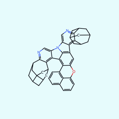 c1cc2cccc3c2c(c1)oc1cc2c4c5c(ncc4n4c6cnc7c(c6c(c13)c24)C1CC2CC3CC7CC32C1)C1CC2CC(C1)CC5C2